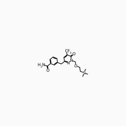 C[Si](C)(C)CCOCn1nc(Cc2cccc(C(N)=O)c2)cc(C(F)(F)F)c1=O